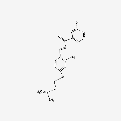 C=C(C)CCOc1ccc(/C=C/C(=O)c2cccc(Br)c2)c(O)c1